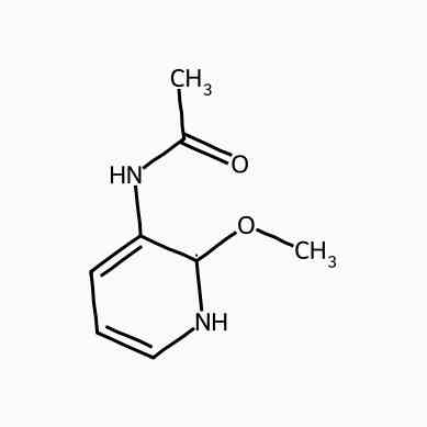 CO[C]1NC=CC=C1NC(C)=O